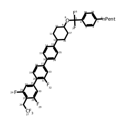 CCCCCc1ccc(C(F)(F)OC2CCC(c3ccc(-c4ccc(-c5cc(F)c(CC(F)(F)F)c(F)c5)c(F)c4)cc3)CC2)cc1